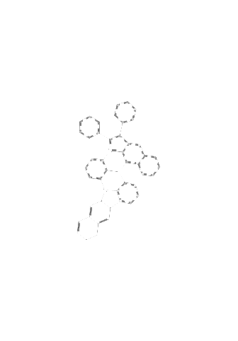 C1=CC2=CC3C(C=C2CC1)c1cccc2c1N3c1cccc3c1B2c1c2ccccc2cc2c(-c4ccccc4)c(-c4ccccc4)n-3c12